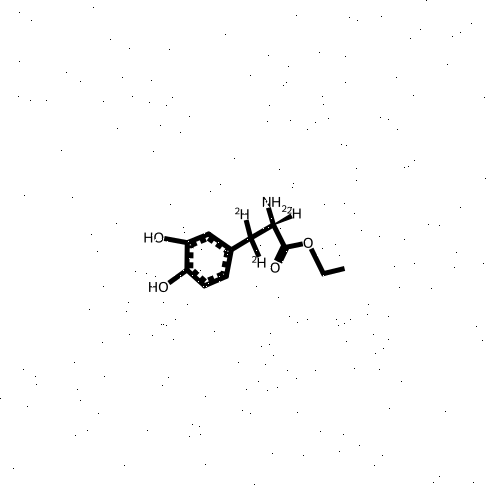 [2H]C([2H])(c1ccc(O)c(O)c1)[C@]([2H])(N)C(=O)OCC